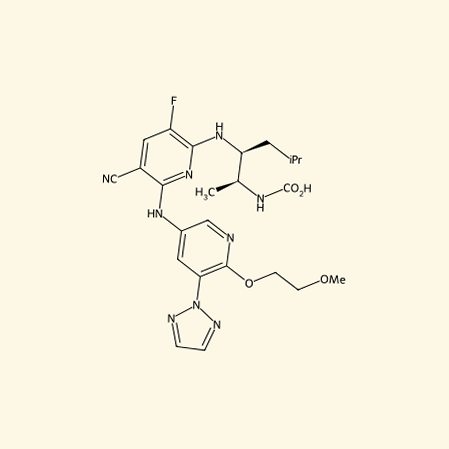 COCCOc1ncc(Nc2nc(N[C@@H](CC(C)C)[C@H](C)NC(=O)O)c(F)cc2C#N)cc1-n1nccn1